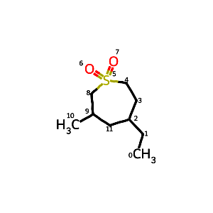 CCC1CCS(=O)(=O)CC(C)C1